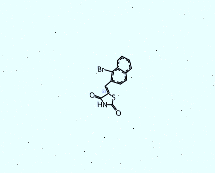 O=C1NC(=O)/C(=C/c2ccc3ccccc3c2Br)S1